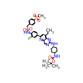 CCc1cc(-c2ccc(NS(=O)(=O)Cc3ccc(S(C)(=O)=O)cc3)c(F)c2)nc2cnc(N[C@H]3CC[C@H](NC(=O)OC(C)(C)C)CC3)nc12